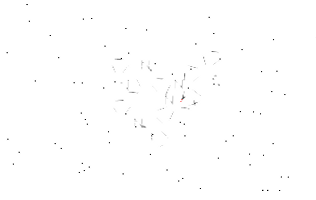 N#Cc1ccccc1-c1ccc2c(c1)c1ccccc1n2-c1cc(C#N)c(-c2cc(-c3ccccc3)nc(-c3ccccc3)c2)cc1-n1c2ccccc2c2cc(-c3ccccc3C#N)ccc21